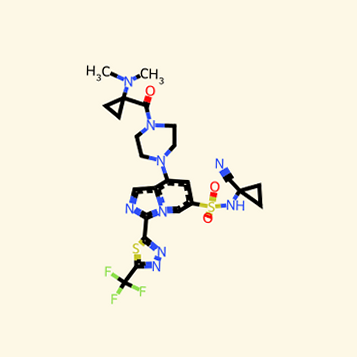 CN(C)C1(C(=O)N2CCN(c3cc(S(=O)(=O)NC4(C#N)CC4)cn4c(-c5nnc(C(F)(F)F)s5)ncc34)CC2)CC1